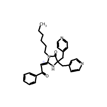 CCCCCCN1C(=O)C(Cc2ccncc2)(Cc2ccncc2)N/C1=C\C(=O)c1ccccc1